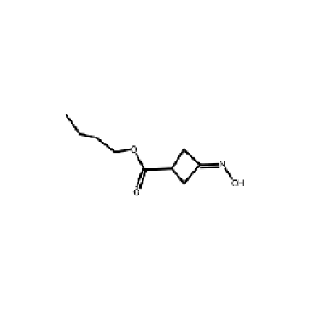 CCCCOC(=O)C1CC(=NO)C1